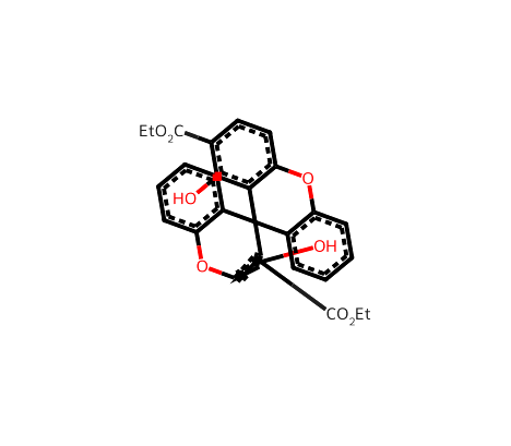 CCOC(=O)c1ccc2c(c1O)C1(c3ccccc3O2)c2ccccc2Oc2ccc(C(=O)OCC)c(O)c21